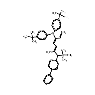 C=C/C(=C\C=C(/C)C(c1ccc(-c2ccccc2)cc1)C(C)(C)C)N(c1ccc(C(C)(C)C)cc1)c1ccc(C(C)(C)C)cc1